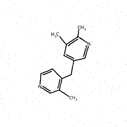 Cc1cnccc1Cc1cnc(C)c(C)c1